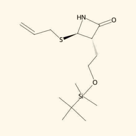 C=CCS[C@H]1NC(=O)[C@@H]1CCO[Si](C)(C)C(C)(C)C